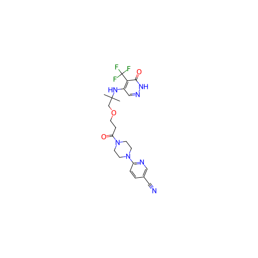 CC(C)(COCCC(=O)N1CCN(c2ccc(C#N)cn2)CC1)Nc1cn[nH]c(=O)c1C(F)(F)F